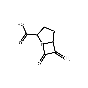 C=C1C(=O)N2C(C(=O)O)CSC12